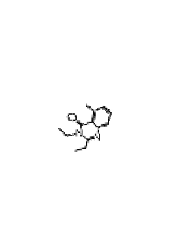 CCc1nc2cccc(C)c2c(=O)n1CC